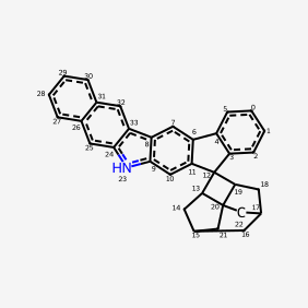 c1ccc2c(c1)-c1cc3c(cc1C21C2CC4CC5CC1C2(C4)C5)[nH]c1cc2ccccc2cc13